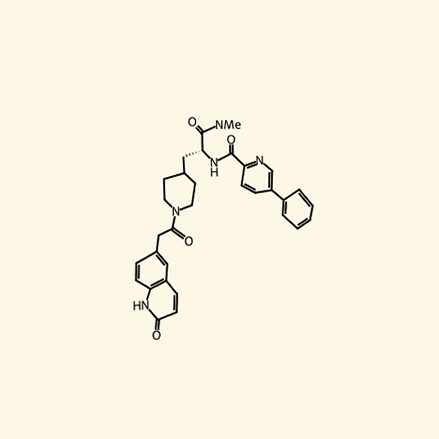 CNC(=O)[C@@H](CC1CCN(C(=O)Cc2ccc3[nH]c(=O)ccc3c2)CC1)NC(=O)c1ccc(-c2ccccc2)cn1